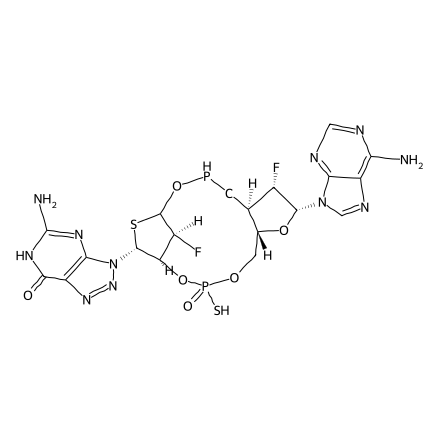 Nc1nc2c(nnn2[C@@H]2SC3OPC[C@H]4[C@H](F)[C@H](n5cnc6c(N)ncnc65)O[C@@H]4COP(=O)(S)O[C@@H]2[C@@H]3F)c(=O)[nH]1